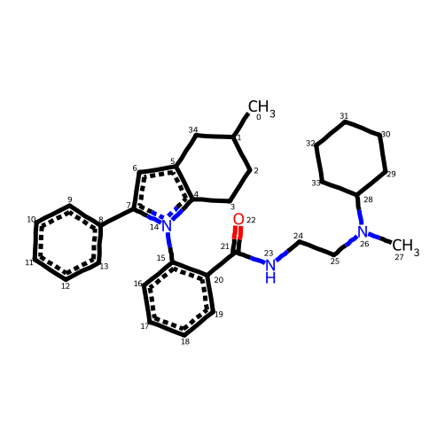 CC1CCc2c(cc(-c3ccccc3)n2-c2ccccc2C(=O)NCCN(C)C2CCCCC2)C1